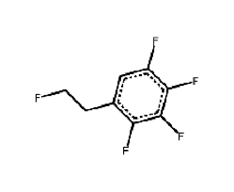 FCCc1cc(F)c(F)c(F)c1F